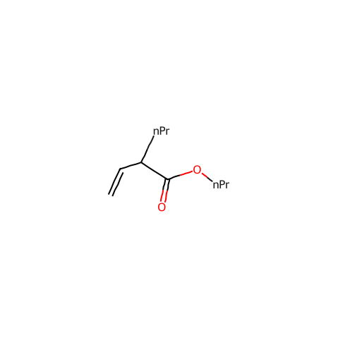 C=CC(CCC)C(=O)OCCC